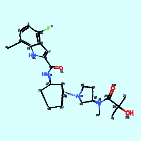 Cc1ccc(F)c2cc(C(=O)N[C@@H]3CCC[C@@H](N4CC[C@@H](N(C)C(=O)C(C)(C)O)C4)C3)[nH]c12